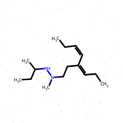 CC/C=C\C(=C/CC)CCN(C)NC(C)CC